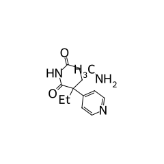 CCC1(c2ccncc2)CCC(=O)NC1=O.CN